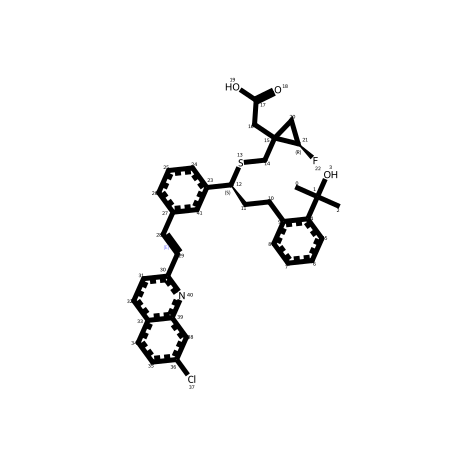 CC(C)(O)c1ccccc1CC[C@H](SCC1(CC(=O)O)C[C@H]1F)c1cccc(/C=C/c2ccc3ccc(Cl)cc3n2)c1